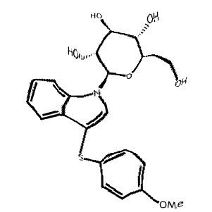 COc1ccc(Sc2cn([C@@H]3O[C@H](CO)[C@@H](O)[C@H](O)[C@H]3O)c3ccccc23)cc1